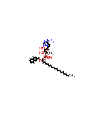 CCCCCCCCCCCCCCCCCC[C@@H](COP(=O)(O)OC[C@@]1(C)O[C@@H](c2ccc3c(N)ncnn23)[C@H](O)[C@@H]1O)OCc1ccc2ccccc2c1